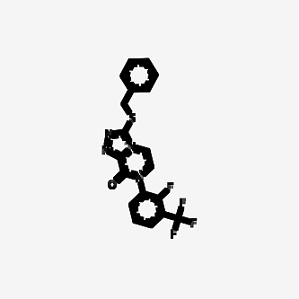 O=c1c2nnc(SCc3ccccc3)n2ccn1-c1cccc(C(F)(F)F)c1F